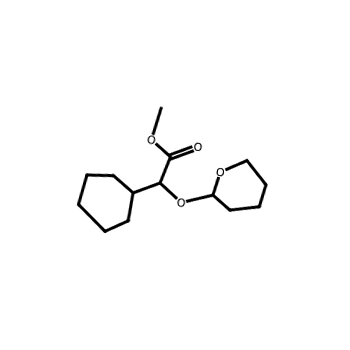 COC(=O)C(OC1CCCCO1)C1CCCCC1